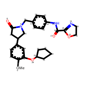 COc1ccc(C2CC(=O)N(Cc3ccc(NC(=O)C4=NCCO4)cc3)C2)cc1OC1CCCC1